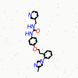 Cc1cn(-c2ccccc2CCOc2ccc(NC(=O)NCc3cccnc3)cc2)cn1